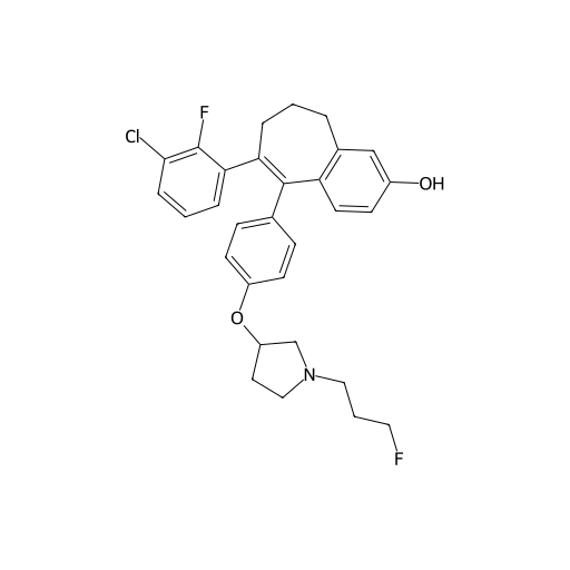 Oc1ccc2c(c1)CCCC(c1cccc(Cl)c1F)=C2c1ccc(OC2CCN(CCCF)C2)cc1